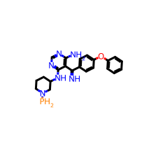 N=C(c1ccc(Oc2ccccc2)cc1)c1c(N)ncnc1NC1CCCN(P)C1